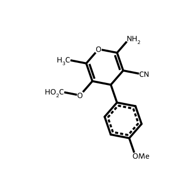 COc1ccc(C2C(C#N)=C(N)OC(C)=C2OC(=O)O)cc1